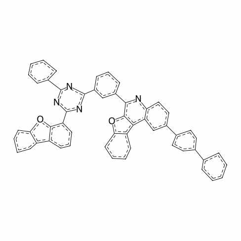 c1ccc(-c2ccc(-c3ccc4nc(-c5cccc(-c6nc(-c7ccccc7)nc(-c7cccc8c7oc7ccccc78)n6)c5)c5oc6ccccc6c5c4c3)cc2)cc1